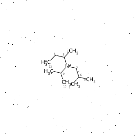 CCC(C)N(CC(C)C)C(C)C